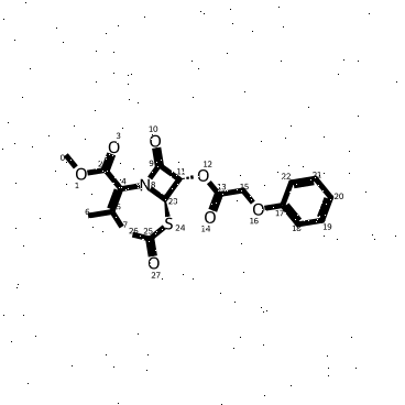 COC(=O)C(=C(C)C)N1C(=O)[C@H](OC(=O)COc2ccccc2)[C@H]1SC(C)=O